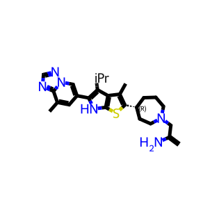 C=C(N)CN1CCC[C@@H](c2sc3[nH]c(-c4cc(C)c5ncnn5c4)c(C(C)C)c3c2C)CC1